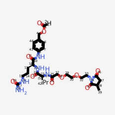 [2H]C(=O)OCc1ccc(NC(=O)[C@H](CCCNC(N)=O)NC(=O)[C@@H](NC(=O)COCCOCCN2C(=O)CC(C)C2=O)C(C)C)cc1